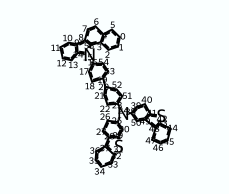 c1ccc2c(c1)ccc1c3ccccc3n(-c3ccc(-c4ccc(N(c5ccc6c(c5)sc5ccccc56)c5ccc6sc7ccccc7c6c5)cc4)cc3)c21